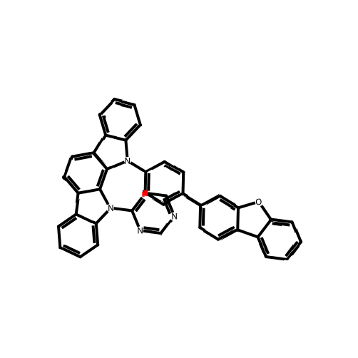 c1ccc2c(c1)oc1cc(-c3ccc(-n4c5ccccc5c5ccc6c7ccccc7n(-c7ncncn7)c6c54)cc3)ccc12